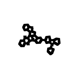 c1ccc(-n2c3ccccc3c3ccc(-c4ccc5c(c4)c4cc6sc7ccccc7c6c6c7nc8ccccc8nc7n5c46)cc32)cc1